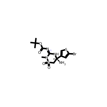 CN1/C(=N\C(=O)OC(C)(C)C)N[C@](N)(c2csc(Br)c2)CS1(=O)=O